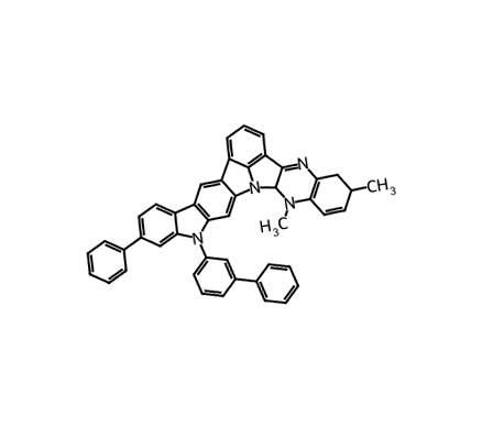 CC1C=CC2=C(C1)N=C1c3cccc4c5cc6c7ccc(-c8ccccc8)cc7n(-c7cccc(-c8ccccc8)c7)c6cc5n(c34)C1N2C